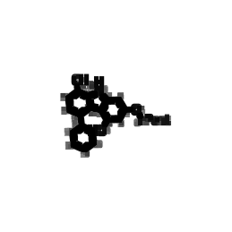 CCCCCOc1cc(O)c2c(c1)[nH]c1c(C)ccc(-c3ccccc3)c12